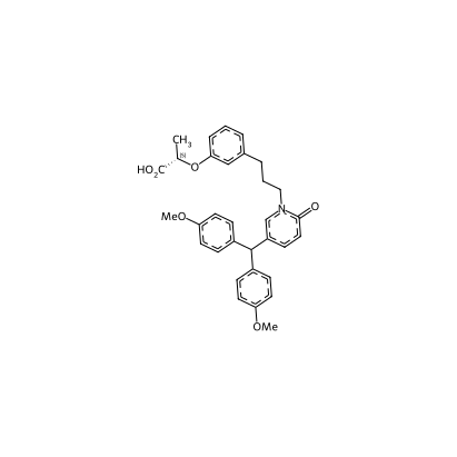 COc1ccc(C(c2ccc(OC)cc2)c2ccc(=O)n(CCCc3cccc(O[C@@H](C)C(=O)O)c3)c2)cc1